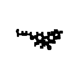 CCC#CCOc1cccc(N(C)C(=O)c2ccc3ncsc3c2)c1F